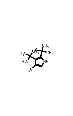 Cc1c[nH]c(C(C)(C)C)c1C(C)(C)C